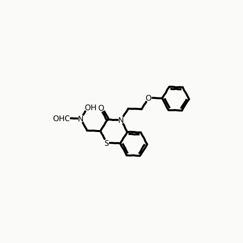 O=CN(O)CC1Sc2ccccc2N(CCOc2ccccc2)C1=O